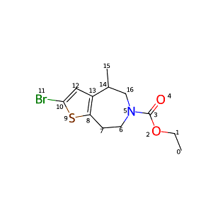 CCOC(=O)N1CCc2sc(Br)cc2C(C)C1